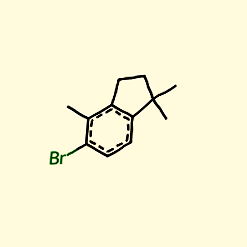 Cc1c(Br)ccc2c1CCC2(C)C